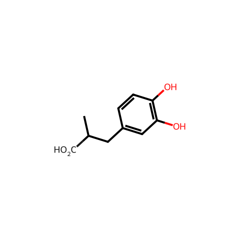 CC(Cc1ccc(O)c(O)c1)C(=O)O